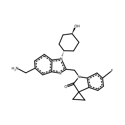 NCc1ccc2c(c1)nc(CN1C(=O)C3(CC3)c3ccc(F)cc31)n2[C@H]1CC[C@H](O)CC1